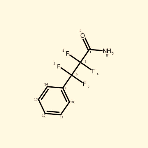 NC(=O)C(F)(F)C(F)(F)c1ccccc1